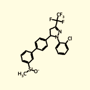 C[S+]([O-])c1cccc(-c2ccc(C3CC(C(F)(F)C(F)(F)F)=NN3c3ccccc3Cl)cc2)c1